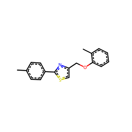 Cc1ccc(-c2nc(COc3ccccc3C)cs2)cc1